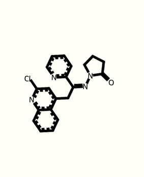 O=C1CCCN1/N=C(/Cc1cc(Cl)nc2ccccc12)c1ccccn1